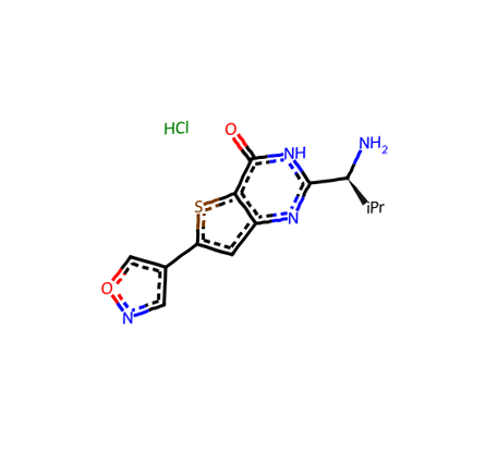 CC(C)[C@H](N)c1nc2cc(-c3cnoc3)sc2c(=O)[nH]1.Cl